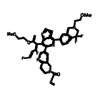 C=CC(=O)N1CCc2ncc(-c3nc(-c4ccc5c(c4)CN(CCOC)CC5(F)F)c4ccsc4c3/C(C(=C)OCCOC)=C(F)/C=C/F)cc2C1